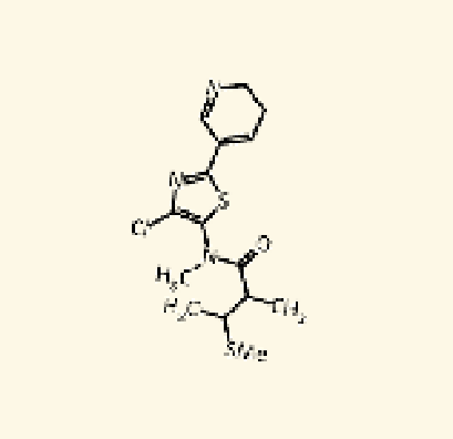 CSC(C)C(C)C(=O)N(C)c1sc(C2=CCCN=C2)nc1Cl